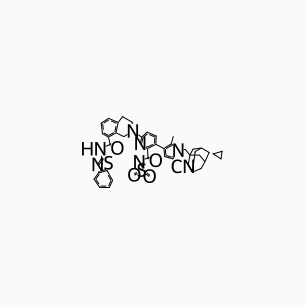 C1CC1.Cc1c(-c2ccc(N3CCc4cccc(C(=O)Nc5nc6ccccc6s5)c4C3)nc2C(=O)N=S(=O)=O)cc(C#N)n1CC12CC3CC(CC(C3)C1)C2